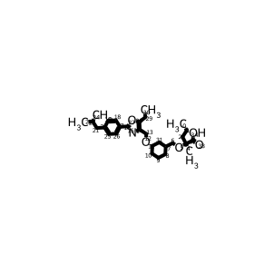 CCCC(C)(OCC1CCC[C@H](OCc2nc(-c3ccc(CC(C)C)cc3)oc2CC)C1)C(=O)O